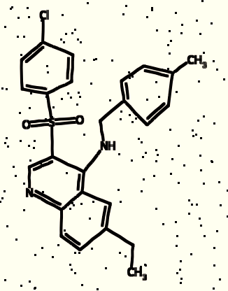 CCc1ccc2ncc(S(=O)(=O)c3ccc(Cl)cc3)c(NCc3ccc(C)cc3)c2c1